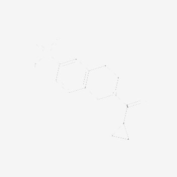 O=C(C1CC1)N1CCc2cc(S(=O)(=O)Cl)ccc2C1